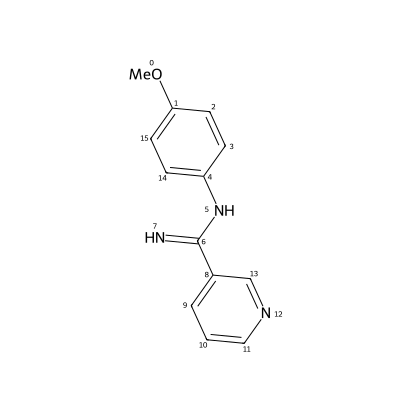 COc1ccc(NC(=N)c2cccnc2)cc1